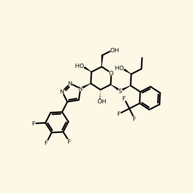 CC[C@H](O)[C@H](S[C@@H]1O[C@H](CO)[C@H](O)[C@H](n2cc(-c3cc(F)c(F)c(F)c3)nn2)[C@H]1O)c1ccccc1C(F)(F)F